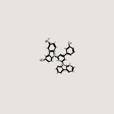 N#Cc1cccc(-c2cc(-n3c4ccc(C#N)cc4c4cc(C#N)ccc43)nc(-n3c4ccccc4c4cccnc43)c2)c1